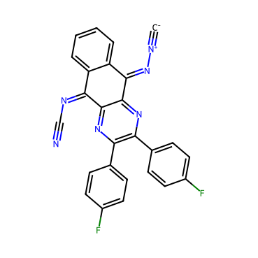 [C-]#[N+]/N=C1\c2ccccc2/C(=N/C#N)c2nc(-c3ccc(F)cc3)c(-c3ccc(F)cc3)nc21